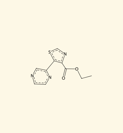 CCOC(=O)c1ncsc1-c1cnccn1